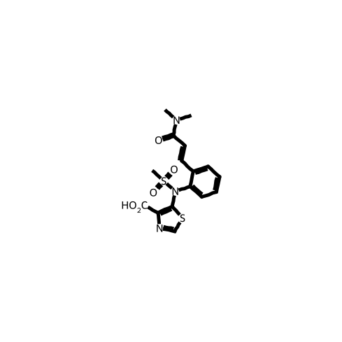 CN(C)C(=O)C=Cc1ccccc1N(c1scnc1C(=O)O)S(C)(=O)=O